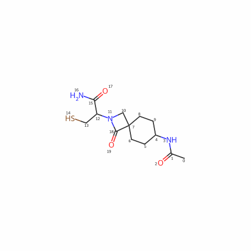 CC(=O)NC1CCC2(CC1)CN(C(CS)C(N)=O)C2=O